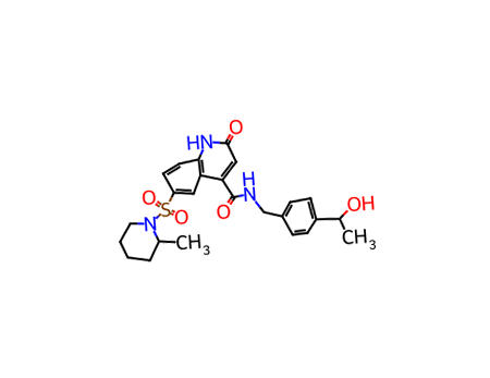 CC(O)c1ccc(CNC(=O)c2cc(=O)[nH]c3ccc(S(=O)(=O)N4CCCCC4C)cc23)cc1